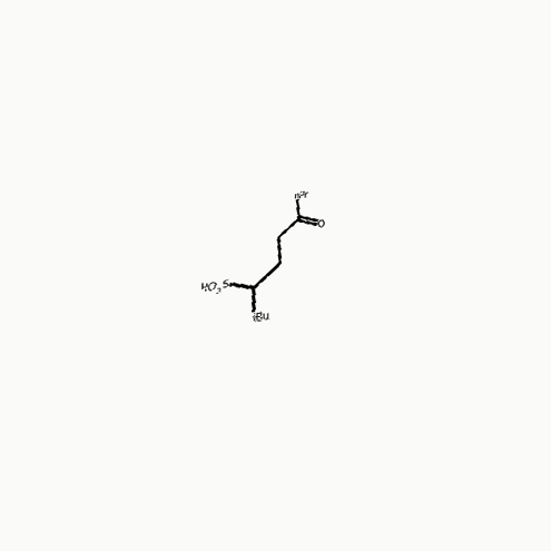 CCCC(=O)CCC(C(C)CC)S(=O)(=O)O